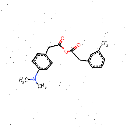 CN(C)c1ccc(CC(=O)OC(=O)Cc2cccc(C(F)(F)F)c2)cc1